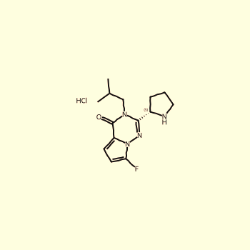 CC(C)Cn1c([C@@H]2CCCN2)nn2c(F)ccc2c1=O.Cl